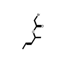 C/C=C/C(C)OC(=O)CBr